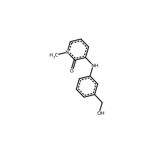 Cn1cccc(Nc2cccc(CO)c2)c1=O